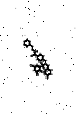 O=C(NCCc1ccccc1)c1ccc(CN(Cc2ccc(F)cc2)S(=O)(=O)c2cc(Cl)cc(Cl)c2O)cc1